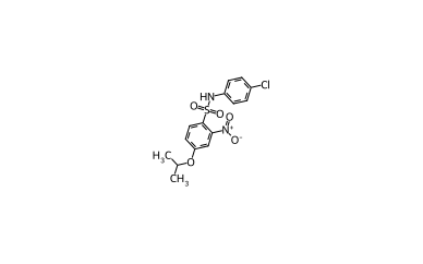 CC(C)Oc1ccc(S(=O)(=O)Nc2ccc(Cl)cc2)c([N+](=O)[O-])c1